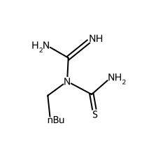 CCCCCN(C(=N)N)C(N)=S